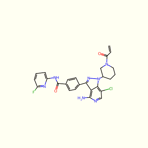 C=CC(=O)N1CCCC(n2nc(-c3ccc(C(=O)Nc4cccc(F)n4)cc3)c3c(N)ncc(Cl)c32)C1